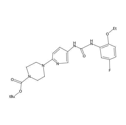 CCOc1ccc(F)cc1NC(=O)Nc1ccc(N2CCN(C(=O)OC(C)(C)C)CC2)nc1